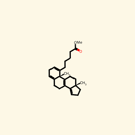 COC(=O)CCCCC1=CCC=C2CCC3=C(CC[C@]4(C)CCC=C34)[C@@]12C